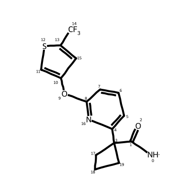 [NH]C(=O)C1(c2cccc(Oc3csc(C(F)(F)F)c3)n2)CCC1